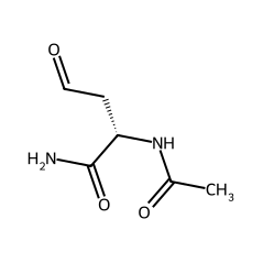 CC(=O)N[C@@H](CC=O)C(N)=O